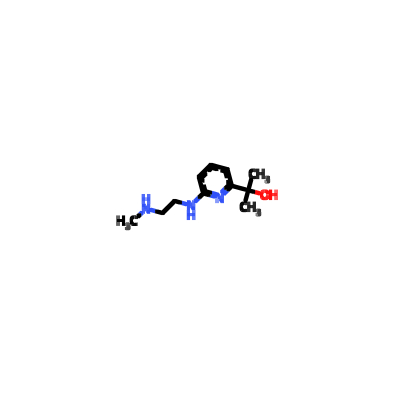 CNCCNc1cccc(C(C)(C)O)n1